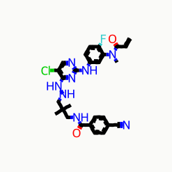 C=CC(=O)N(C)c1cc(Nc2ncc(Cl)c(NNCC(C)(C)CNC(=O)c3ccc(C#N)cc3)n2)ccc1F